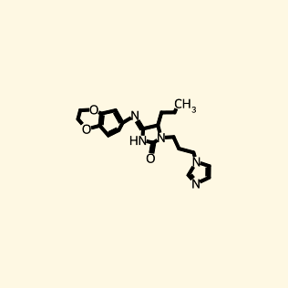 CCCC1C(=Nc2ccc3c(c2)OCCO3)NC(=O)N1CCCn1ccnc1